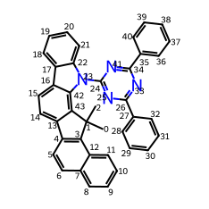 CC1(C)c2c(ccc3ccccc23)-c2ccc3c4ccccc4n(-c4nc(-c5ccccc5)nc(-c5ccccc5)n4)c3c21